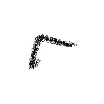 O=P([O-])([O-])[O-].O=P([O-])([O-])[O-].O=P([O-])([O-])[O-].O=P([O-])([O-])[O-].O=P([O-])([O-])[O-].O=P([O-])([O-])[O-].O=P([O-])([O-])[O-].O=P([O-])([O-])[O-].O=P([O-])([O-])[O-].O=P([O-])([O-])[O-].[Fe+3].[Fe+3].[Fe+3].[Li+].[Li+].[Li+].[Mg+2].[Mg+2].[Mg+2].[Mn+2].[Mn+2].[Mn+2].[Zn+2].[Zn+2].[Zn+2]